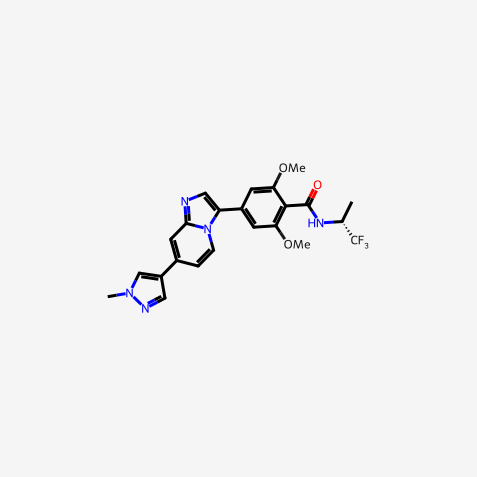 COc1cc(-c2cnc3cc(-c4cnn(C)c4)ccn23)cc(OC)c1C(=O)N[C@H](C)C(F)(F)F